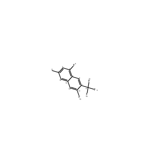 Cc1cc(F)c2cc(C(F)(F)F)c(F)cc2c1